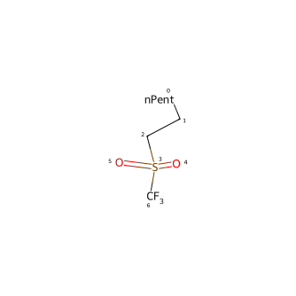 [CH2]CCCCCCS(=O)(=O)C(F)(F)F